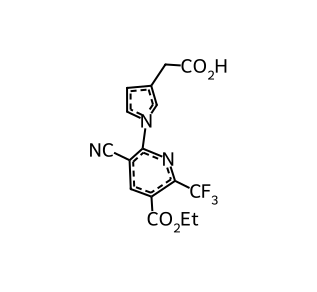 CCOC(=O)c1cc(C#N)c(-n2ccc(CC(=O)O)c2)nc1C(F)(F)F